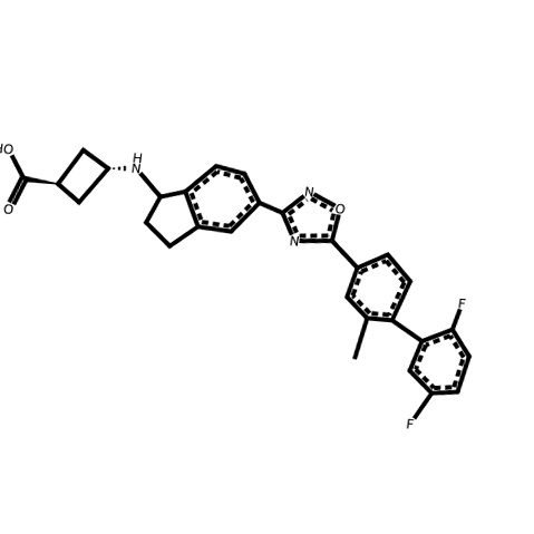 Cc1cc(-c2nc(-c3ccc4c(c3)CCC4N[C@H]3C[C@H](C(=O)O)C3)no2)ccc1-c1cc(F)ccc1F